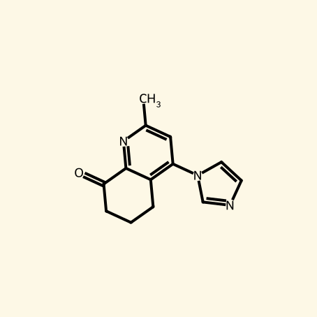 Cc1cc(-n2ccnc2)c2c(n1)C(=O)CCC2